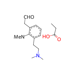 CCC(=O)O.CNc1c(CC=O)cccc1CCN(C)C